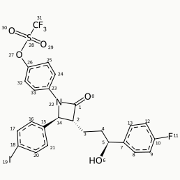 O=C1[C@H](CC[C@H](O)c2ccc(F)cc2)[C@@H](c2ccc(I)cc2)N1c1ccc(OS(=O)(=O)C(F)(F)F)cc1